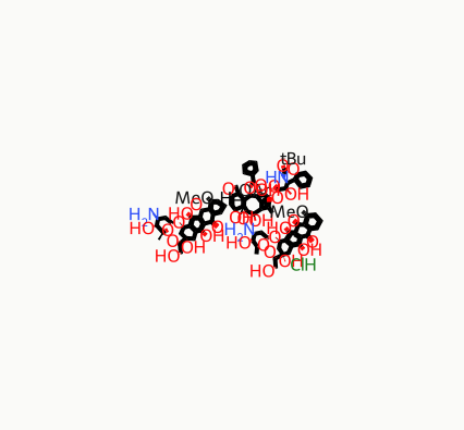 CC(=O)O[C@@]12CO[C@@H]1C[C@H](O)[C@@]1(C)C(=O)[C@H](O)C3=C(C)[C@@H](OC(=O)[C@H](O)[C@@H](NC(=O)OC(C)(C)C)c4ccccc4)C[C@@](O)([C@@H](OC(=O)c4ccccc4)[C@H]21)C3(C)C.COc1cccc2c1C(=O)c1c(O)c3c(c(O)c1C2=O)C[C@@](O)(C(=O)CO)C[C@@H]3OC1CC(N)C(O)C(C)O1.COc1cccc2c1C(=O)c1c(O)c3c(c(O)c1C2=O)C[C@@](O)(C(=O)CO)C[C@@H]3O[C@H]1C[C@H](N)[C@H](O)[C@H](C)O1.Cl